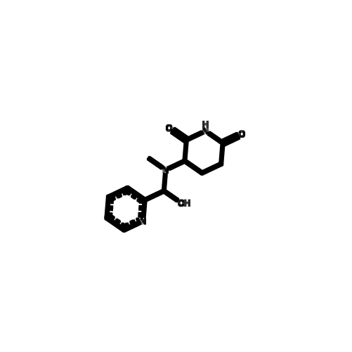 CN(C1CCC(=O)NC1=O)C(O)c1ccccn1